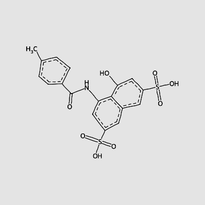 Cc1ccc(C(=O)Nc2cc(S(=O)(=O)O)cc3cc(S(=O)(=O)O)cc(O)c23)cc1